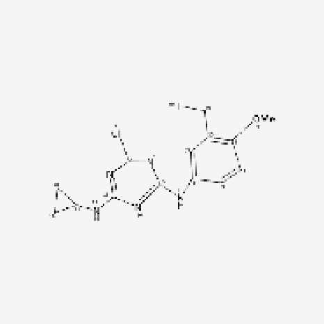 COc1ccc(Nc2nc(Cl)nc(NC3CC3)n2)cc1CI